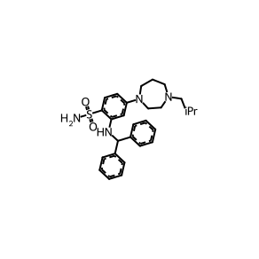 CC(C)CN1CCCN(c2ccc(S(N)(=O)=O)c(NC(c3ccccc3)c3ccccc3)c2)CC1